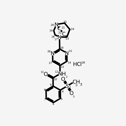 CS(=O)(=O)c1ccccc1C(=O)Nc1cnc(N2CCN3CCC2CC3)nc1.Cl